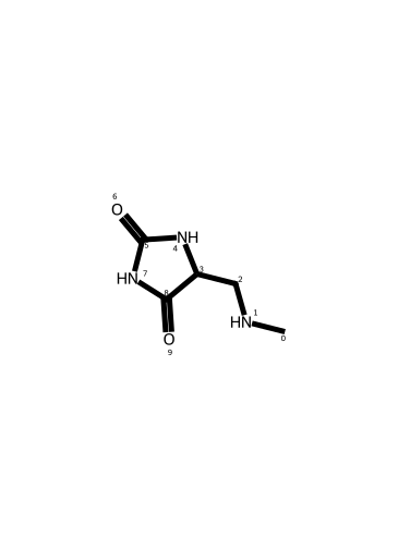 CNCC1NC(=O)NC1=O